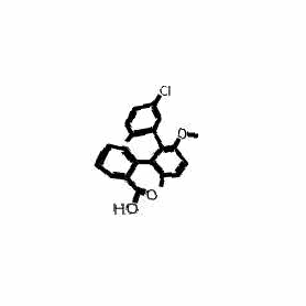 COc1ccc(C)c(-c2ccccc2C(=O)O)c1-c1cc(Cl)ccc1C